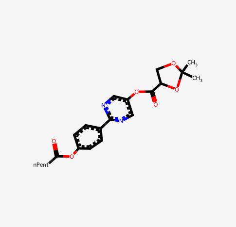 CCCCCC(=O)Oc1ccc(-c2ncc(OC(=O)C3COC(C)(C)O3)cn2)cc1